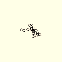 C1=Cc2ccc(-c3ccc(-c4nc(-n5c6ccc7sc8ccc9c%10ccccc%10n%10c%11cccc5c%11c6c7c8c9%10)nc5sc6ccccc6c45)cc3)cc2CC1